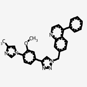 COc1cc(-c2cn(Cc3ccc4c(-c5ccccc5)ccnc4c3)nn2)ccc1-n1cnc(C)c1